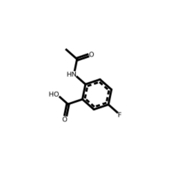 CC(=O)Nc1ccc(F)cc1C(=O)O